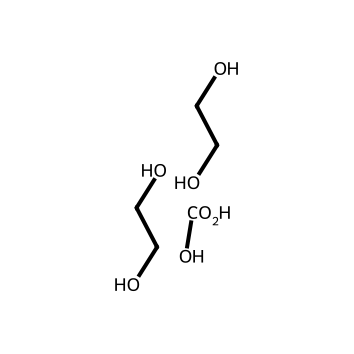 O=C(O)O.OCCO.OCCO